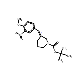 COc1ccc(/C=C2\CCCN(C(=O)OC(C)(C)C)C2)cc1[N+](=O)[O-]